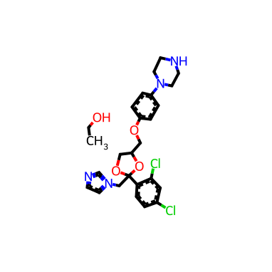 CCO.Clc1ccc(C2(Cn3ccnc3)OCC(COc3ccc(N4CCNCC4)cc3)O2)c(Cl)c1